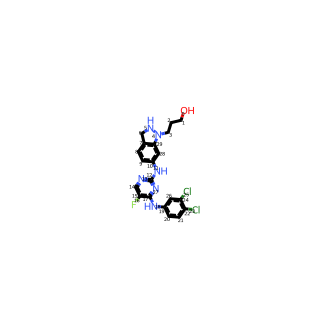 OCCCN1NCc2ccc(Nc3ncc(F)c(Nc4ccc(Cl)c(Cl)c4)n3)cc21